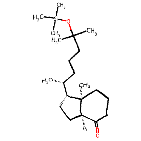 C[C@H](CCCC(C)(C)O[Si](C)(C)C)[C@H]1CC[C@@H]2C(=O)CCC[C@@]21C